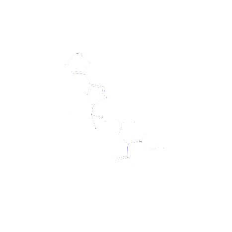 CC[C@@H](C[C@@H]1C[C@@]1(C(=O)O)c1cn(-c2ccccn2)cn1)CN(C(=O)OC(C)(C)C)C(=O)OC(C)(C)C